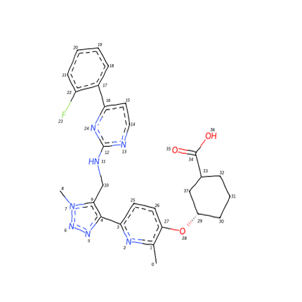 Cc1nc(-c2nnn(C)c2CNc2nccc(-c3ccccc3F)n2)ccc1O[C@H]1CCCC(C(=O)O)C1